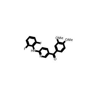 COc1ccc(C(=O)c2ccc(Nc3c(F)cccc3F)nc2)cc1OC